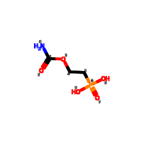 NC(=O)OCCP(=O)(O)O